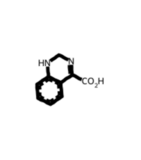 O=C(O)C1=NCNc2ccccc21